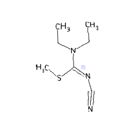 CCN(CC)/C(=N/C#N)SC